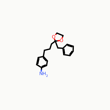 Nc1ccc(CCCC2(Cc3ccccc3)OCCO2)cc1